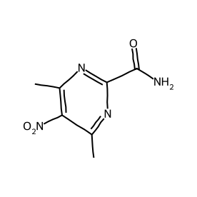 Cc1nc(C(N)=O)nc(C)c1[N+](=O)[O-]